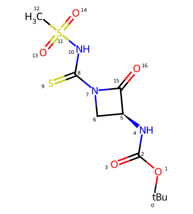 CC(C)(C)OC(=O)N[C@H]1CN(C(=S)NS(C)(=O)=O)C1=O